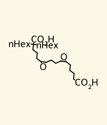 CCCCCCC(CCCCCC)(CCCC1OC1CCC1OC1CCCCC(=O)O)C(=O)O